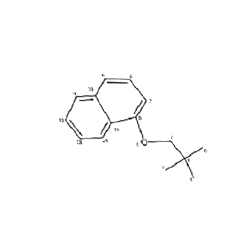 CC(C)(C)COc1cccc2ccccc12